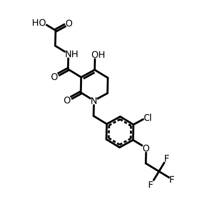 O=C(O)CNC(=O)C1=C(O)CCN(Cc2ccc(OCC(F)(F)F)c(Cl)c2)C1=O